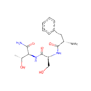 CC(=O)N[C@@H](Cc1ccccc1)C(=O)N[C@@H](CO)C(=O)N[C@H](C(N)=O)[C@@H](C)O